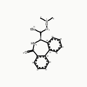 C[SiH](C)OC([C@@H]1NC(=O)c2ccccc2-c2ccccc21)C(C)(C)C